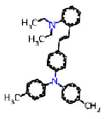 CCN(CC)c1ccccc1C=Cc1ccc(N(c2ccc(C)cc2)c2ccc(C)cc2)cc1